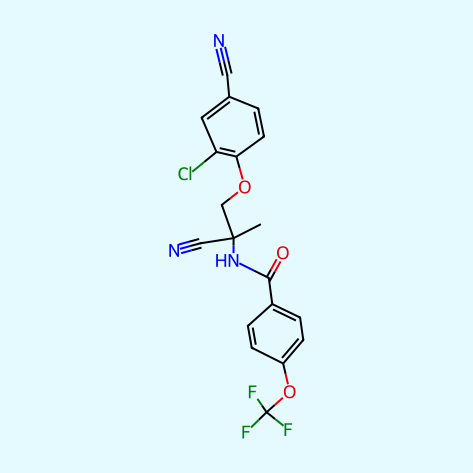 CC(C#N)(COc1ccc(C#N)cc1Cl)NC(=O)c1ccc(OC(F)(F)F)cc1